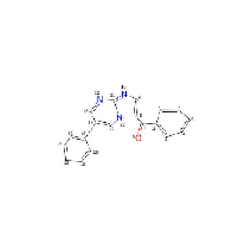 O=C(c1ccccc1)c1cnc2ncc(-c3ccccc3)cn12